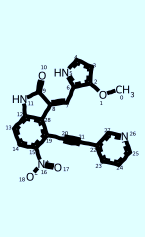 COc1cc[nH]c1C=C1C(=O)Nc2ccc([N+](=O)[O-])c(C#Cc3cccnc3)c21